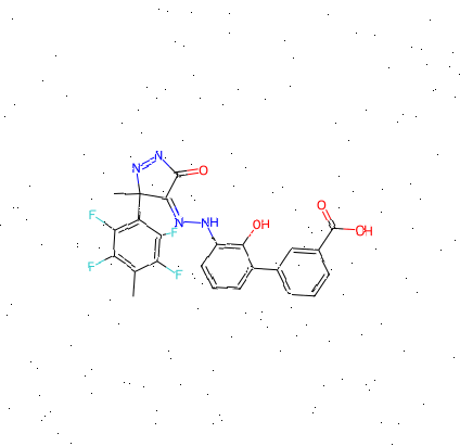 Cc1c(F)c(F)c(C2(C)N=NC(=O)C2=NNc2cccc(-c3cccc(C(=O)O)c3)c2O)c(F)c1F